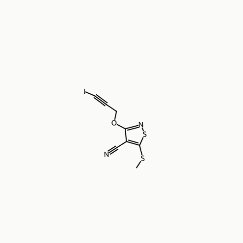 CSc1snc(OCC#CI)c1C#N